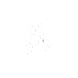 C1=CCc2sc3ccc(N(c4ccc(-c5ccccc5-c5cc6ccccc6c6ccccc56)cc4)c4ccc(-c5cc6ccccc6c6ccccc56)cc4)cc3c2C=C1